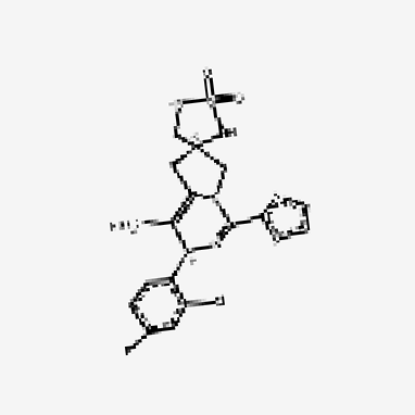 CCOC(=O)C1=C2C[C@]3(CNS(=O)(=O)N3)CN2C(c2nccs2)=N[C@H]1c1ccc(F)cc1Cl